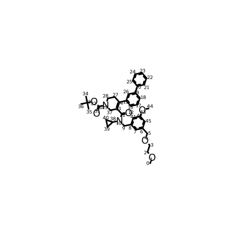 COCCOCc1cc(CN(C(=O)C2=C(c3cccc(-c4ccccc4)c3)CCN(C(=O)OC(C)(C)C)C2)C2CC2)cc(OC)c1